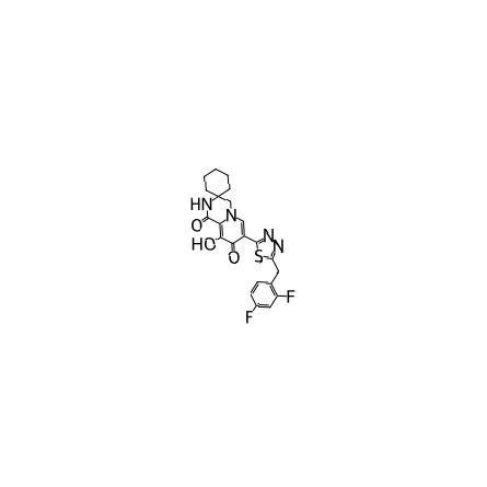 O=C1NC2(CCCCC2)Cn2cc(-c3nnc(Cc4ccc(F)cc4F)s3)c(=O)c(O)c21